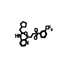 O=C(CC1CCCC1)Nc1cccnc1SCCS(=O)(=O)c1cccc(C(F)(F)F)c1